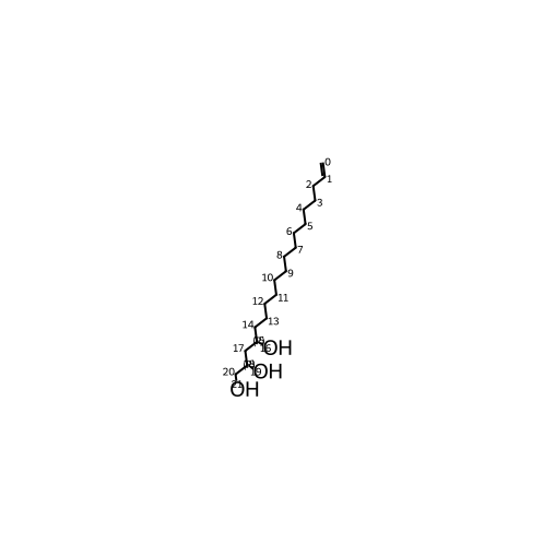 C=CCCCCCCCCCCCCC[C@@H](O)C[C@@H](O)CO